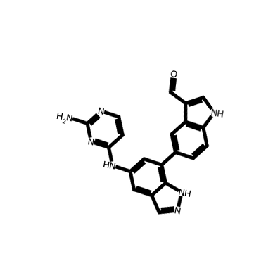 Nc1nccc(Nc2cc(-c3ccc4[nH]cc(C=O)c4c3)c3[nH]ncc3c2)n1